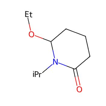 CCOC1CCCC(=O)N1C(C)C